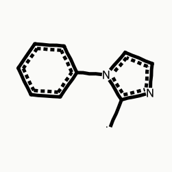 [CH2]c1nccn1-c1ccccc1